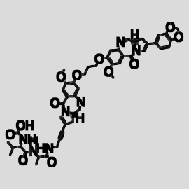 COc1cc2c(cc1OCCCOc1cc3c(cc1OC)C(=O)N1C=C(c4ccc5c(c4)OCO5)C[C@H]1C=N3)N=C[C@@H]1CC(C#CCNC(=O)C(C)NC(=O)C(NC(=O)O)C(C)C)=CN1C2=O